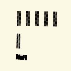 C=C.C=C.C=C.C=C.C=C.C=C.[NaH]